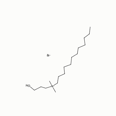 CCCCCCCCCCCC[N+](C)(C)CCCO.[Br-]